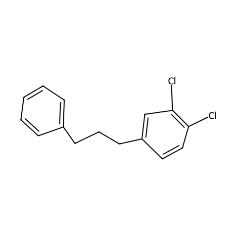 Clc1ccc(CCCc2ccccc2)cc1Cl